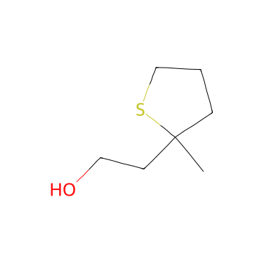 CC1(CCO)CCCS1